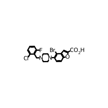 O=C(O)c1cc2c(Br)c(N3CCN(Cc4c(F)cccc4Cl)CC3)ccc2o1